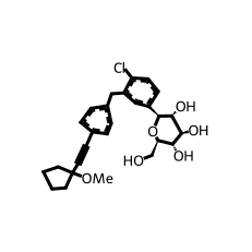 COC1(C#Cc2ccc(Cc3cc([C@@H]4O[C@H](CO)[C@@H](O)[C@H](O)[C@H]4O)ccc3Cl)cc2)CCCC1